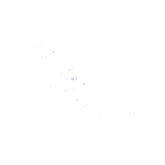 Cc1ccc(Oc2ccc(S(=O)(=O)N[C@@H](C(=O)O)C(C)(C)SCc3ccccn3)cc2)cc1